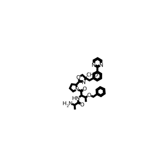 CC(N)C(=O)NC(C(=O)N1CCCC1C1=N[C@](C=O)(Cc2cccc(-c3ncccn3)c2)CO1)C(C)OCc1ccccc1